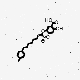 Cc1ccc(CCCCCCCC(Oc2ccc(O)c(C(=O)O)c2)=S(=O)=O)cc1